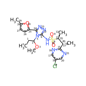 CCC(OC)n1c(NS(=O)(=O)[C@@H](C)[C@H](C)c2ncc(Cl)cn2)nnc1-c1ccc(C)o1